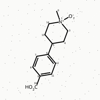 C[N+]1([O-])CCC(c2ccc(C(=O)O)cc2)CC1